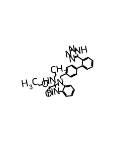 CCNC1(C(=O)OCC)Nc2ccccc2N1Cc1ccc(-c2ccccc2-c2nnn[nH]2)cc1